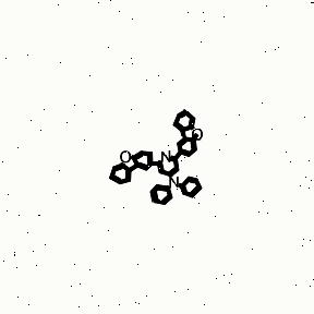 c1ccc(N(c2ccccc2)c2cc(-c3ccc4oc5ccccc5c4c3)nc(-c3ccc4oc5ccccc5c4c3)c2)cc1